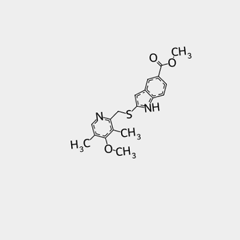 COC(=O)c1ccc2[nH]c(SCc3ncc(C)c(OC)c3C)cc2c1